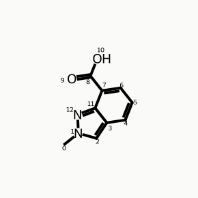 Cn1cc2cccc(C(=O)O)c2n1